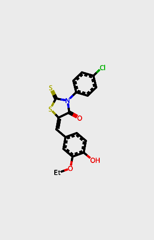 CCOc1cc(C=C2SC(=S)N(c3ccc(Cl)cc3)C2=O)ccc1O